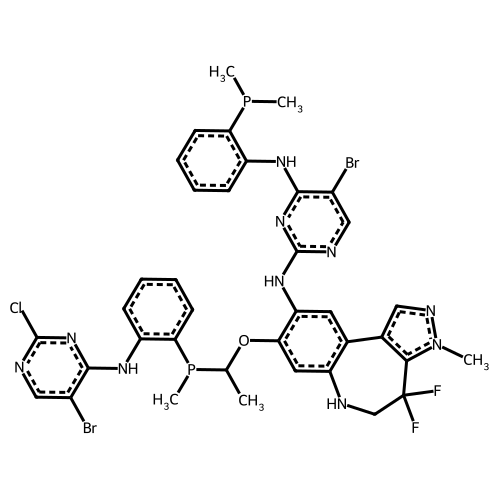 CC(Oc1cc2c(cc1Nc1ncc(Br)c(Nc3ccccc3P(C)C)n1)-c1cnn(C)c1C(F)(F)CN2)P(C)c1ccccc1Nc1nc(Cl)ncc1Br